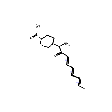 C/C=C/C=C/C=C/C(=O)C(N)[C@H]1CC[C@H](C(=O)O)CC1